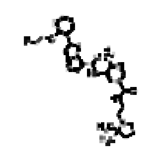 Cc1ncc(C(=O)NCCN2CCCC2(C)C)cc1NC(=O)c1cnn2cc(-c3cccnc3OCCF)sc12